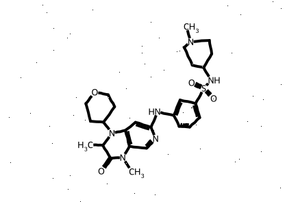 CC1C(=O)N(C)c2cnc(Nc3cccc(S(=O)(=O)NC4CCN(C)CC4)c3)cc2N1C1CCOCC1